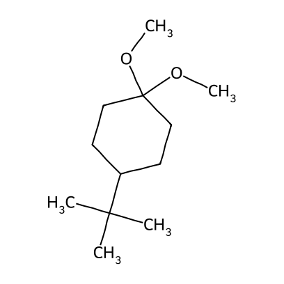 COC1(OC)CCC(C(C)(C)C)CC1